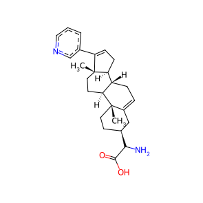 C[C@]12CC[C@H](C(N)C(=O)O)CC1=CC[C@@H]1[C@@H]2CC[C@]2(C)C(c3cccnc3)=CC[C@@H]12